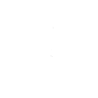 CCOc1c2c(c(OCC(F)F)c3ccccc13)C(=O)N(c1ccc(CC)cc1F)C2